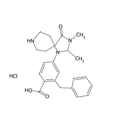 CC1N(C)C(=O)C2(CCNCC2)N1c1ccc(C(=O)O)c(Cc2ccccc2)c1.Cl